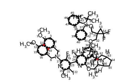 COc1ccc(CN(Cc2ccc(OC)cc2)c2nc(C)c(I)c(-c3nc4c5c(nc(OCC6(CO[Si](c7ccccc7)(c7ccccc7)C(C)(C)C)CC6(F)F)nc5c3F)N3C[C@H]5CC[C@@H]([C@H]3[C@H](C)O4)N5C(=O)OC(C)(C)C)c2F)cc1